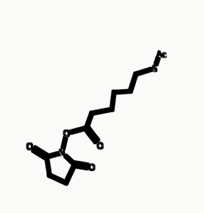 CC(=O)SCCCCCC(=O)ON1C(=O)CCC1=O